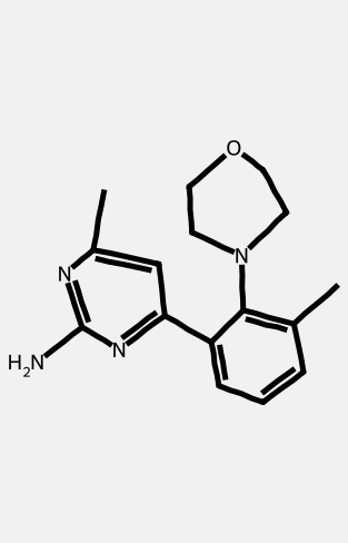 Cc1cc(-c2cccc(C)c2N2CCOCC2)nc(N)n1